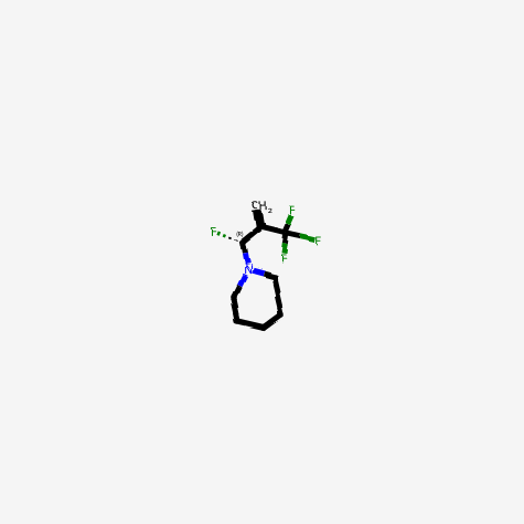 C=C([C@@H](F)N1CCCCC1)C(F)(F)F